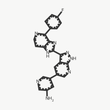 Nc1cncc(-c2cnc3[nH]nc(-c4nc5c(-c6ccc(F)cc6)nccc5[nH]4)c3c2)c1